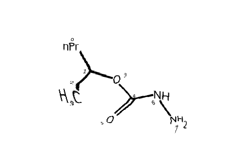 CCCC(C)OC(=O)NN